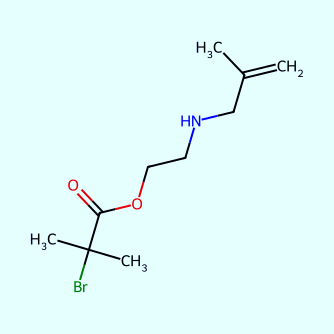 C=C(C)CNCCOC(=O)C(C)(C)Br